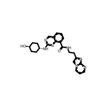 O=C(NCCc1cn2cccnc2n1)c1cccc2cnc(N[C@H]3CC[C@H](O)CC3)nc12